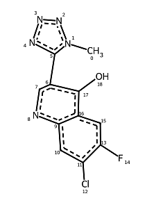 Cn1nnnc1-c1cnc2cc(Cl)c(F)cc2c1O